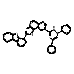 c1ccc(C2=NC(c3ccccc3)NC(c3ccc4ccc5sc(-c6cccc7c6oc6ccccc67)nc5c4c3)=N2)cc1